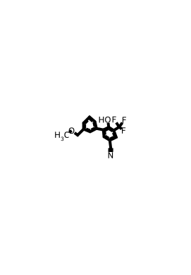 COCc1cccc(-c2cc(C#N)cc(C(F)(F)F)c2O)c1